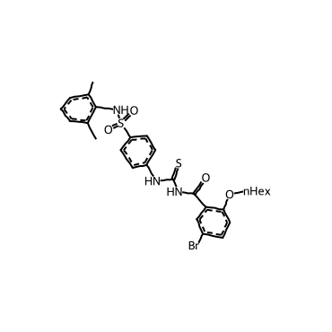 CCCCCCOc1ccc(Br)cc1C(=O)NC(=S)Nc1ccc(S(=O)(=O)Nc2c(C)cccc2C)cc1